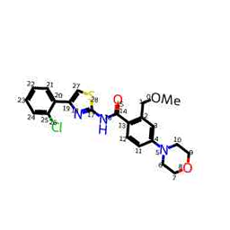 COCc1cc(N2CCOCC2)ccc1C(=O)Nc1nc(-c2ccccc2Cl)cs1